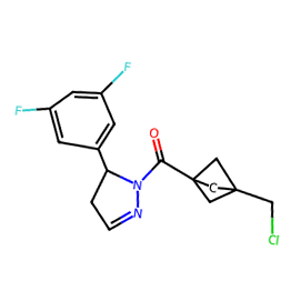 O=C(N1N=CCC1c1cc(F)cc(F)c1)C12CC(CCl)(C1)C2